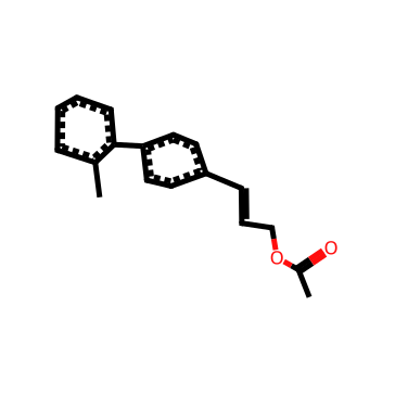 CC(=O)OCC=Cc1ccc(-c2ccccc2C)cc1